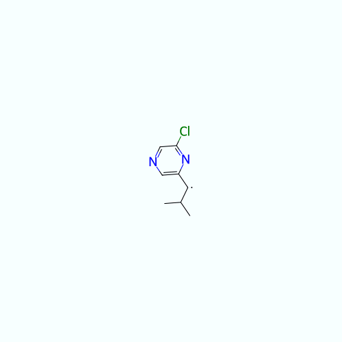 CC(C)[CH]c1cncc(Cl)n1